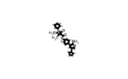 Cc1c(C(=O)Nc2ccc(-c3cc(C4CCCC4)cnc3N)cc2)c(=O)n(-c2ccccc2)n1C